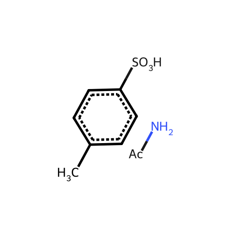 CC(N)=O.Cc1ccc(S(=O)(=O)O)cc1